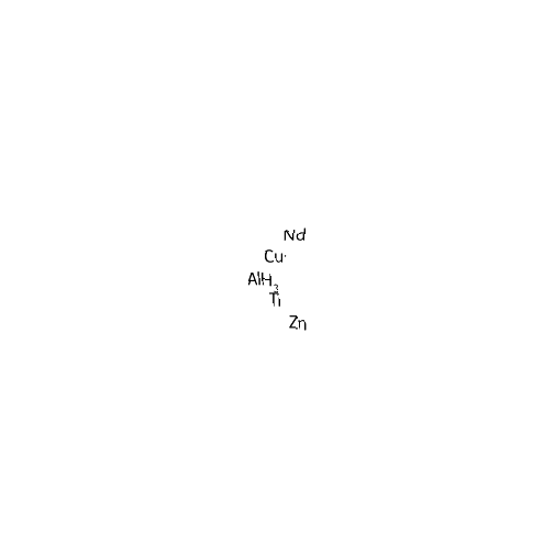 [AlH3].[Cu].[Nd].[Ti].[Zn]